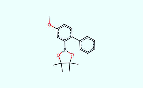 COc1ccc(-c2ccccc2)c(B2OC(C)(C)C(C)(C)O2)c1